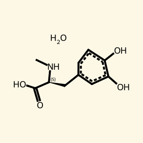 CN[C@@H](Cc1ccc(O)c(O)c1)C(=O)O.O